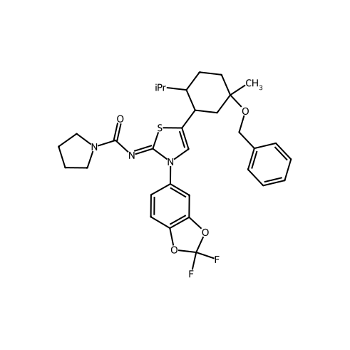 CC(C)C1CCC(C)(OCc2ccccc2)CC1c1cn(-c2ccc3c(c2)OC(F)(F)O3)c(=NC(=O)N2CCCC2)s1